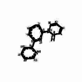 C1=CNB(c2cccc(-c3ccccn3)n2)C=C1